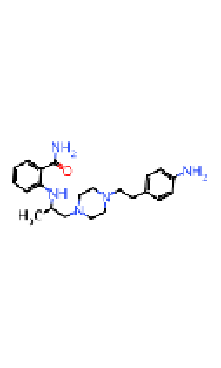 CC(CN1CCN(CCc2ccc(N)cc2)CC1)Nc1ccccc1C(N)=O